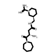 N=C(N)N1CCC[C@@H](CNC(=O)C[C@H](N)C(=O)N2CCCCCC2)C1